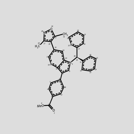 COC(=O)c1ccc(-c2cn([C@H](c3ccccc3)c3ccccn3)c3cc(-c4c(C)noc4C)cnc23)cc1